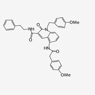 COc1ccc(CC(=O)Nc2cccc3c2cc(C(=O)NCCc2ccccc2)c(=O)n3Cc2ccc(OC)cc2)cc1